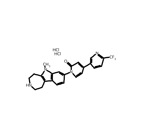 Cl.Cl.Cn1c2c(c3ccc(-n4ccc(-c5ccc(C(F)(F)F)nc5)cc4=O)cc31)CCNCC2